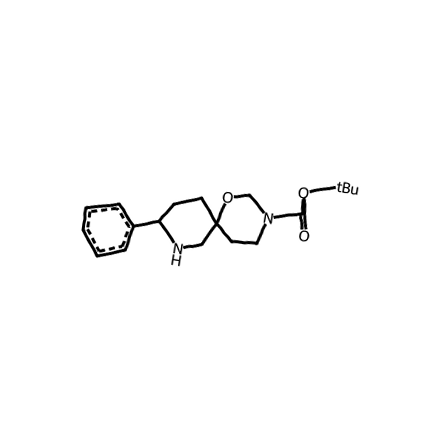 CC(C)(C)OC(=O)N1CCC2(CCC(c3ccccc3)NC2)OC1